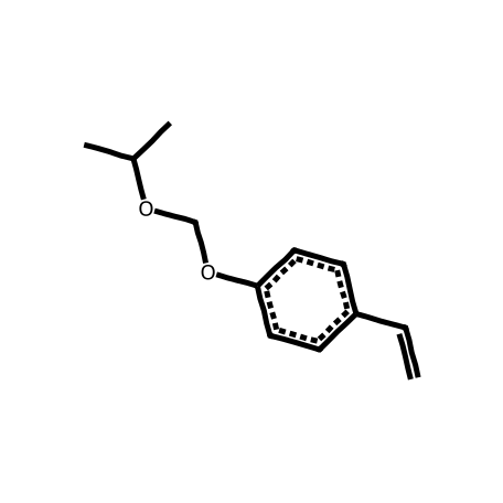 C=Cc1ccc(OCOC(C)C)cc1